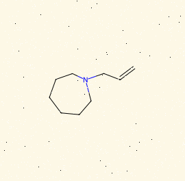 C=CCN1CCCCCC1